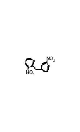 O=[N+]([O-])c1cccc(Cc2ccccc2[N+](=O)[O-])c1